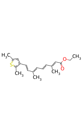 CCOC(=O)/C=C(\C)C=CC=C(C)C=Cc1cc(C)sc1C